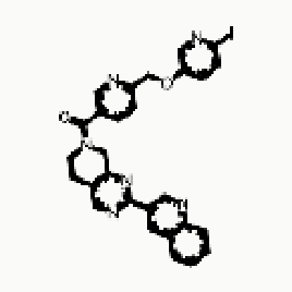 O=C(c1ccc(COc2ccc(I)nc2)nc1)N1CCc2cnc(-c3cnc4ccccc4c3)nc2C1